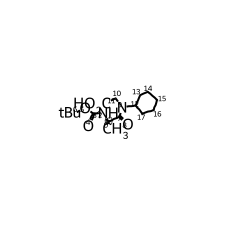 C[C@H](NC(=O)OC(C)(C)C)C(=O)N(CC(=O)O)C1CCCCC1